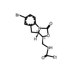 CCC(=O)NC[C@@H]1OC(=O)N2c3ccc(Br)cc3C[C@@H]12